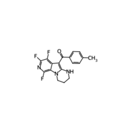 Cc1ccc(C(=O)c2c3n(c4c(F)nc(F)c(F)c24)CCCN3)cc1